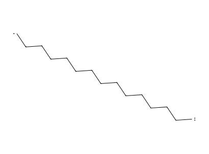 [CH]CCCCCCCCCCCCC[CH2]